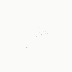 COC(=O)C1CC2(CN1C(=O)CNC(=O)CCCOc1ccccc1)OCCO2